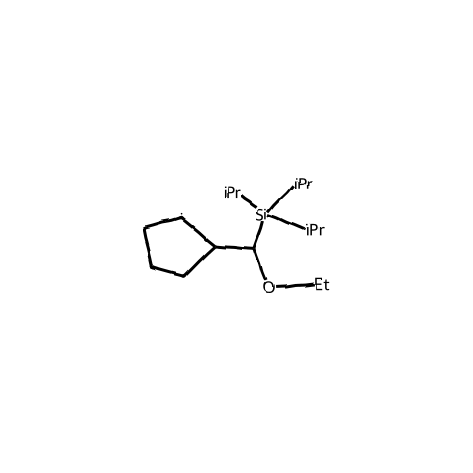 CCOC(C1[CH]CCC1)[Si](C(C)C)(C(C)C)C(C)C